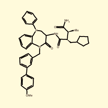 CCCC[C@H](C(N)=O)[C@@H](CC1CCCC1)C(=O)NC1CN(c2ccccc2)c2ccccc2N(Cc2cccc(-c3ccc(OC)cc3)c2)C1=O